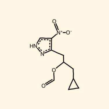 O=COC(Cc1n[nH]cc1[N+](=O)[O-])CC1CC1